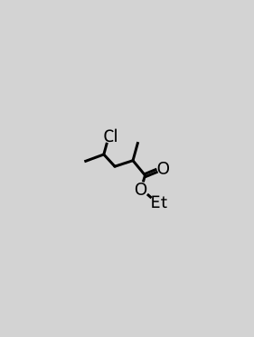 CCOC(=O)C(C)CC(C)Cl